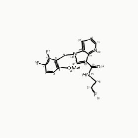 COc1ccc(F)c(F)c1Cn1cc(C(=O)NCCF)c2ncccc21